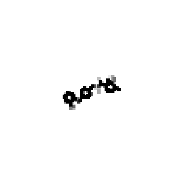 CCc1ccccc1Oc1ccc(CNC(=O)c2ccc(C)nc2N)cc1